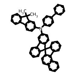 CC1(C)c2ccccc2-c2ccc(N(c3ccc(-c4ccccc4)cc3)c3ccc4c(c3)-c3ccccc3C43c4ccccc4-c4c3ccc3ccccc43)cc21